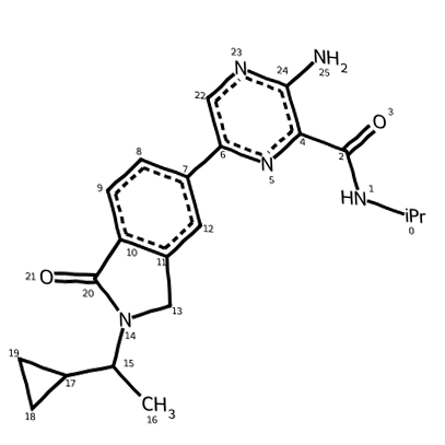 CC(C)NC(=O)c1nc(-c2ccc3c(c2)CN(C(C)C2CC2)C3=O)cnc1N